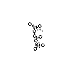 C=C(/N=C(\N=C(/N)c1ccccc1)c1ccc(-c2ccc3c4ccc(-c5nc(-c6ccccc6)nc(-c6ccccc6)n5)cc4n(-c4ccccc4)c3c2)cc1)c1ccccc1